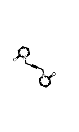 O=c1ccccn1CC#CCn1ccccc1=O